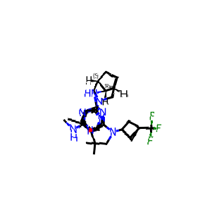 CNc1nc(N[C@H]2[C@@H]3CC[C@H]2CN(c2cc(C)ncn2)C3)nc2c1C(C)(C)CN2C12CC(C(F)(F)F)(C1)C2